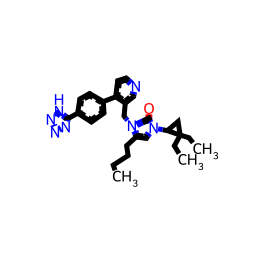 CCCCc1cn(C2CC2(CC)CC)c(=O)n1Cc1cnccc1-c1ccc(-c2nnn[nH]2)cc1